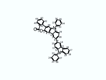 O=c1oc2cc3c4cc(-c5ccc6c(c5)c5ccccc5n6-c5ccccc5)ccc4n(-c4ccccc4)c3cc2c2ccccc12